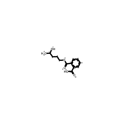 CC(O)CCCOC(=O)c1ccccc1C(=O)O